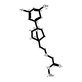 CC(C)(C)OC(=O)COCCC12CCC(c3cc(O)cc(F)c3)(CC1)OC2